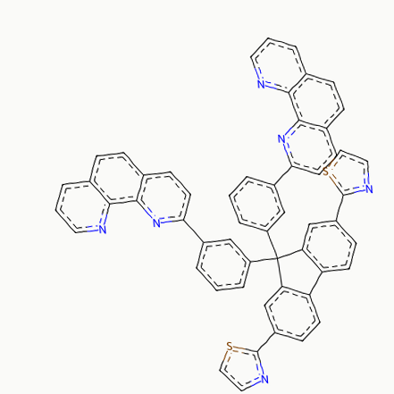 c1cc(-c2ccc3ccc4cccnc4c3n2)cc(C2(c3cccc(-c4ccc5ccc6cccnc6c5n4)c3)c3cc(-c4nccs4)ccc3-c3ccc(-c4nccs4)cc32)c1